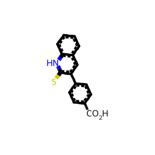 O=C(O)c1ccc(-c2cc3ccccc3[nH]c2=S)cc1